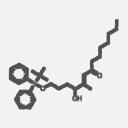 CCCCCCCC(=O)C=C(C)C(O)CCCO[Si](c1ccccc1)(c1ccccc1)C(C)(C)C